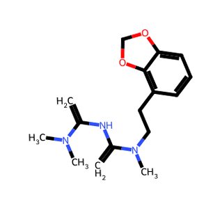 C=C(NC(=C)N(C)CCc1cccc2c1OCO2)N(C)C